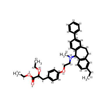 CCOC(=O)C(Cc1ccc(OCCN(C)C2c3ccc(CC)cc3CCc3cc(-c4ccccc4)ccc32)cc1)OCC